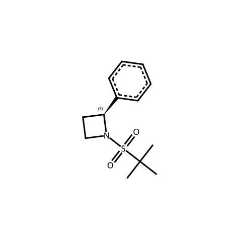 CC(C)(C)S(=O)(=O)N1CC[C@H]1c1ccccc1